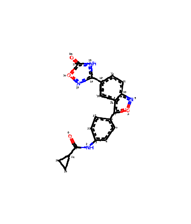 O=C(Nc1ccc(-c2onc3ccc(-c4noc(=O)[nH]4)cc23)cc1)C1CC1